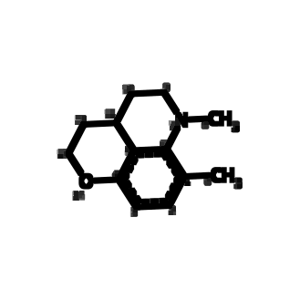 Cc1ccc2c3c1N(C)CCC3CCO2